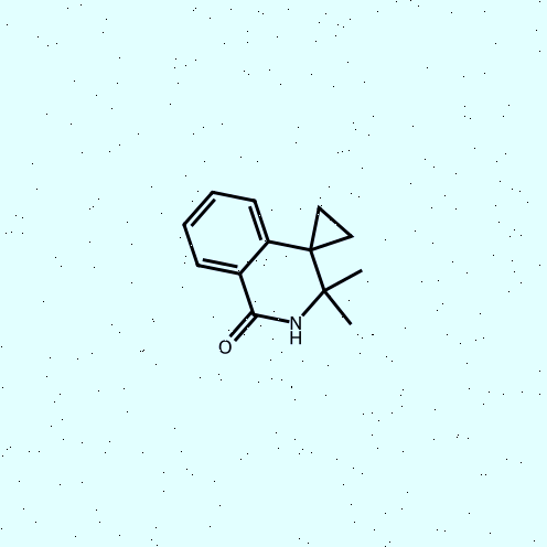 CC1(C)NC(=O)c2ccccc2C12CC2